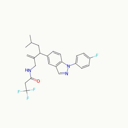 C=C(CNC(=O)CC(F)(F)F)C(CC(C)C)c1ccc2c(cnn2-c2ccc(F)cc2)c1